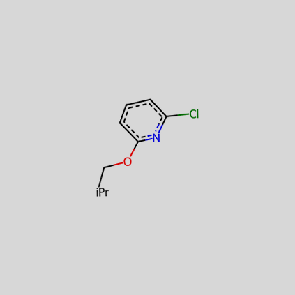 CC(C)COc1cccc(Cl)n1